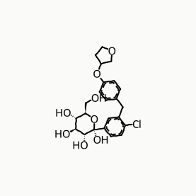 OC[C@H]1O[C@@](O)(c2ccc(Cl)c(Cc3ccc(OC4CCOC4)cc3)c2)[C@H](O)[C@@H](O)[C@@H]1O